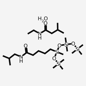 CC(C)CNC(=O)CCCC[Si](C)(O[Si](C)(C)C)O[Si](C)(C)O[Si](C)(C)C.CCNC(=O)CC(C)C.O